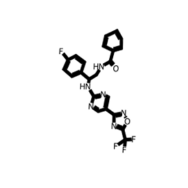 O=C(NCC(Nc1ncc(-c2noc(C(F)(F)F)n2)cn1)c1ccc(F)cc1)c1ccccc1